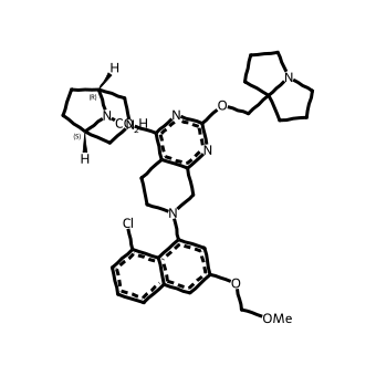 COCOc1cc(N2CCc3c(nc(OCC45CCCN4CCC5)nc3N3C[C@H]4CC[C@@H](C3)N4C(=O)O)C2)c2c(Cl)cccc2c1